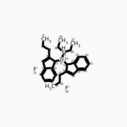 CCCC1=Cc2ccccc2[CH]1[Zr+2]([CH]1C(CCC)=Cc2ccccc21)[SiH](CC)CC.[F-].[F-]